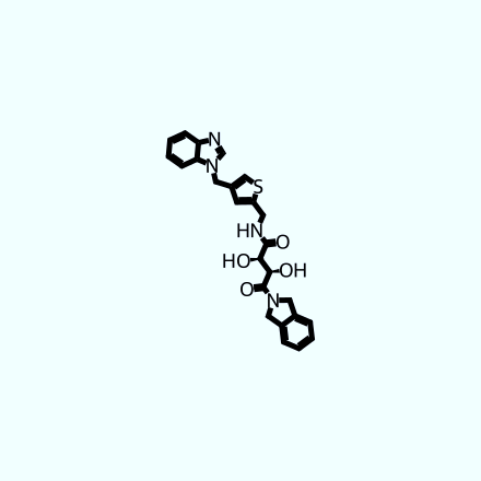 O=C(NCc1cc(CN2C=NC3C=CC=CC32)cs1)[C@H](O)[C@@H](O)C(=O)N1Cc2ccccc2C1